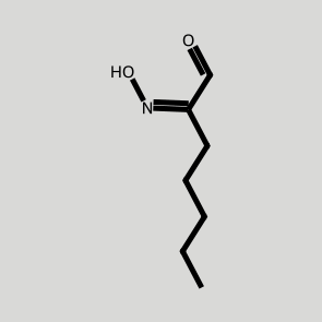 CCCCCC(C=O)=NO